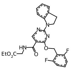 CCOC(=O)CNC(=O)c1cnc(N2CCc3ccccc32)nc1OCc1c(F)cccc1F